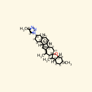 CC1=C2C[C@H]3[C@@H](CC[C@@H]4C[C@@H](n5cc(C)nn5)CC[C@@]43C)[C@@H]2CC[C@@]2(C1)O[C@@H]1C[C@H](C)CC[C@H]1[C@H]2C